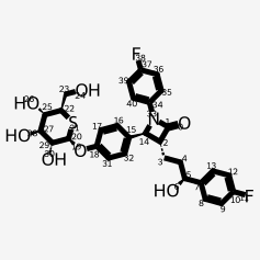 O=C1[C@H](CC[C@H](O)c2ccc(F)cc2)[C@@H](c2ccc(O[C@@H]3S[C@H](CO)[C@@H](O)[C@H](O)[C@H]3O)cc2)N1c1ccc(F)cc1